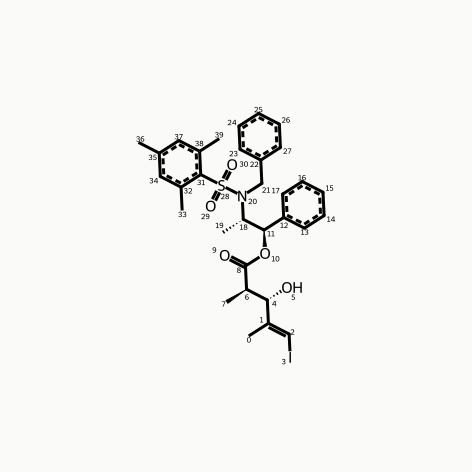 C/C(=C\I)[C@@H](O)[C@@H](C)C(=O)O[C@H](c1ccccc1)[C@H](C)N(Cc1ccccc1)S(=O)(=O)c1c(C)cc(C)cc1C